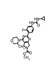 COC(=O)N1Cc2nc(-c3ccc(NC(=O)NC4CC4)cc3F)nc(N3CCOCC3C)c2C1